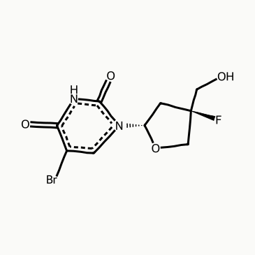 O=c1[nH]c(=O)n([C@@H]2C[C@](F)(CO)CO2)cc1Br